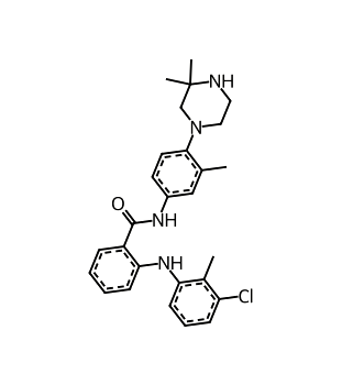 Cc1cc(NC(=O)c2ccccc2Nc2cccc(Cl)c2C)ccc1N1CCNC(C)(C)C1